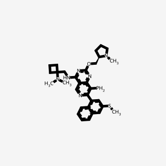 CSc1cc(-c2ncc3c(NCC4(N(C)C)CCC4)nc(OC[C@H]4CCCN4C)nc3c2P)c2ccccc2c1